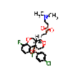 CN(C)CCS(=O)(=O)CC[C@@H]1OCC[C@@]2([S@+]([O-])c3ccc(Cl)cc3)c3c(F)ccc(F)c3OC[C@@H]12